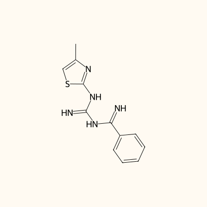 Cc1csc(NC(=N)NC(=N)c2ccccc2)n1